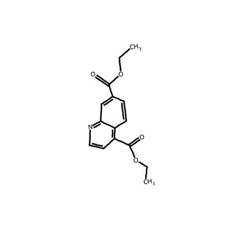 CCOC(=O)c1ccc2c(C(=O)OCC)ccnc2c1